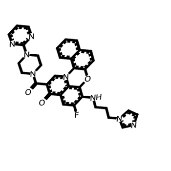 O=C(c1cn2c3c(c(NCCCn4ccnc4)c(F)cc3c1=O)Oc1ccc3ccccc3c1-2)N1CCN(c2ncccn2)CC1